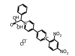 O=[N+]([O-])c1ccc(-[n+]2ccc(-c3cc[n+](C(c4ccccc4)P(=O)(O)O)cc3)cc2)c([N+](=O)[O-])c1.[Cl-].[Cl-]